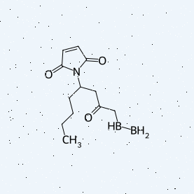 BBCC(=O)CC(CCCC)N1C(=O)C=CC1=O